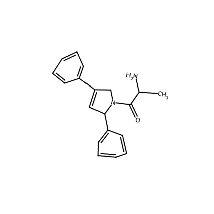 CC(N)C(=O)N1CC(c2ccccc2)=CC1c1ccccc1